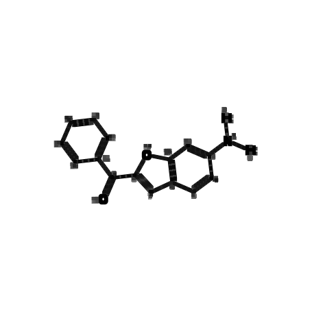 CCN(CC)c1ccc2cc(C(=O)c3ccccc3)oc2c1